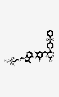 C[Si](C)(C)CCOCn1cc(I)c2c(Oc3c(F)cc(CC(NC(=O)O)C(=O)N4CCC(S(=O)(=O)c5ccccc5)CC4)cc3F)ccnc21